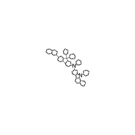 c1ccc(N(c2ccc3c(c2)C(c2ccccc2)(c2ccccc2)c2cc(-c4ccc5ccccc5c4)ccc2-3)c2ccc3c4ccc5ccccc5c4n(-c4ccccc4)c3c2)cc1